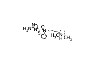 C[C@H]1CCC[C@@](C)(CCCCCN2C(=O)C(c3ccnc(N)n3)Sc3ccccc32)N1